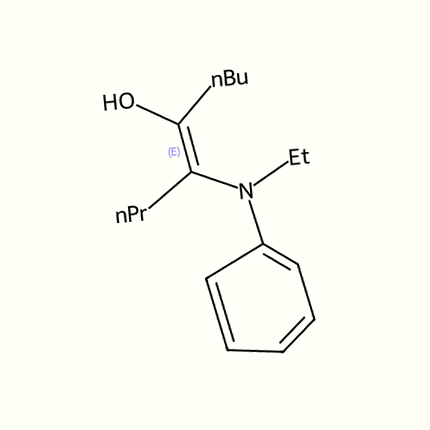 CCCC/C(O)=C(/CCC)N(CC)c1ccccc1